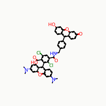 CN(C)c1ccc2c(-c3c(Cl)c(C(=O)NCc4ccc(-c5c6ccc(=O)cc-6oc6cc(O)ccc56)cc4)cc(Cl)c3C(=O)O)c3ccc(=[N+](C)C)cc-3oc2c1